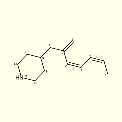 C=C(/C=C\C=C/C)CC1CCNCC1